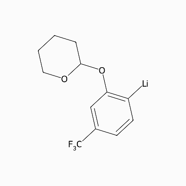 [Li][c]1ccc(C(F)(F)F)cc1OC1CCCCO1